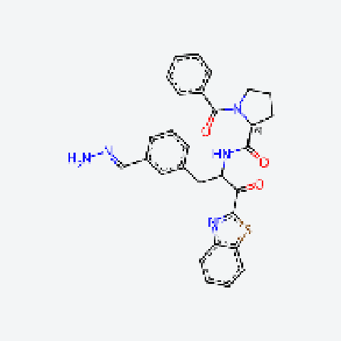 NN=Cc1cccc(CC(NC(=O)[C@@H]2CCCN2C(=O)c2ccccc2)C(=O)c2nc3ccccc3s2)c1